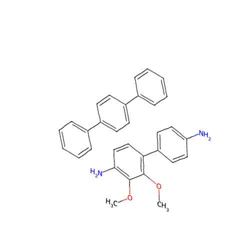 COc1c(N)ccc(-c2ccc(N)cc2)c1OC.c1ccc(-c2ccc(-c3ccccc3)cc2)cc1